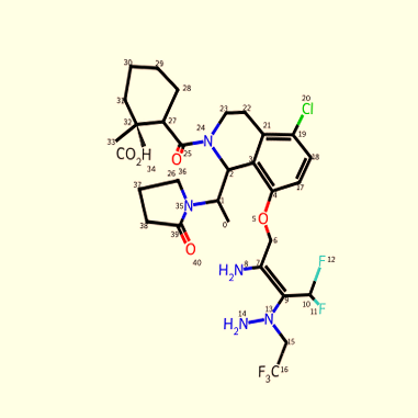 CC(C1c2c(OC/C(N)=C(\C(F)F)N(N)CC(F)(F)F)ccc(Cl)c2CCN1C(=O)C1CCCC[C@]1(C)C(=O)O)N1CCCC1=O